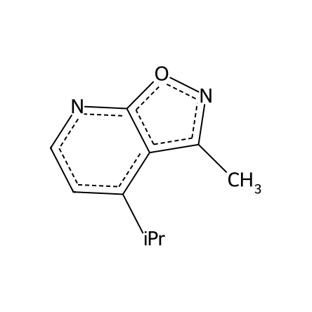 Cc1noc2nccc(C(C)C)c12